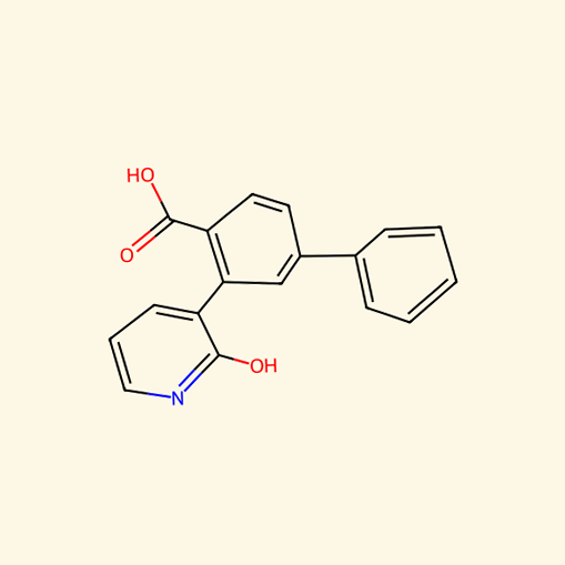 O=C(O)c1ccc(-c2ccccc2)cc1-c1cccnc1O